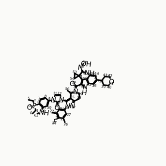 CCP(=O)(CC)c1ccc(-n2ccn(-c3c4c(nn3-c3cc(C)c(F)c(C)c3)CCN(C(=O)c3[nH]c5cc(C6CCOCC6)ccc5c3C3(C(N)=NO)CC3)C4C)c2=O)cc1NC